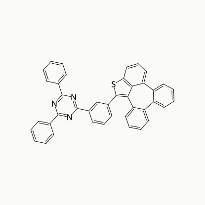 c1ccc(-c2nc(-c3ccccc3)nc(-c3cccc(-c4sc5cccc6c5c4-c4ccccc4-c4ccccc4-6)c3)n2)cc1